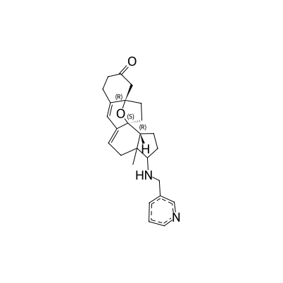 CC12CC=C3C=C4CCC(=O)C[C@]45CC[C@]3(O5)[C@@H]1CCC2NCc1cccnc1